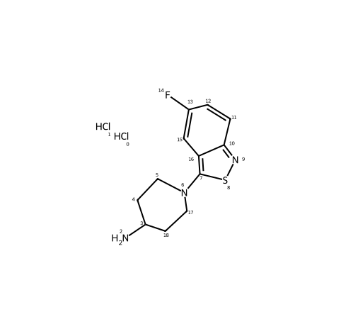 Cl.Cl.NC1CCN(c2snc3ccc(F)cc23)CC1